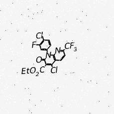 CCOC(=O)c1c(Cl)c2ccc(C(F)(F)F)nc2n(-c2ccc(Cl)c(F)c2)c1=O